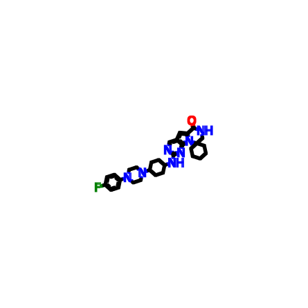 O=C1NCC2(CCCCC2)n2c1cc1cnc(NC3CCC(N4CCN(c5ccc(F)cc5)CC4)CC3)nc12